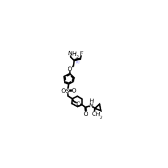 CC1(NC(=O)C23CCC(CS(=O)(=O)c4ccc(OC/C(=C/F)CN)cc4)(CC2)CC3)CC1